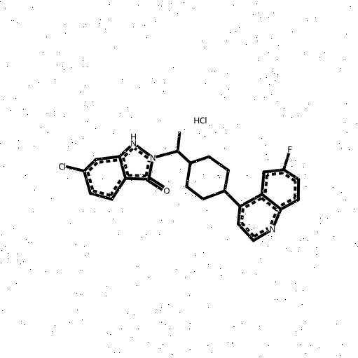 CC(C1CCC(c2ccnc3ccc(F)cc23)CC1)n1[nH]c2cc(Cl)ccc2c1=O.Cl